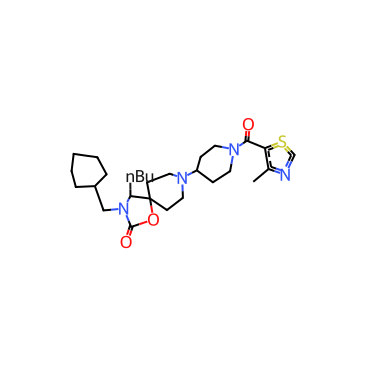 CCCCC1N(CC2CCCCC2)C(=O)OC12CCN(C1CCN(C(=O)c3scnc3C)CC1)CC2